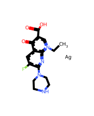 CCn1cc(C(=O)O)c(=O)c2cc(F)c(N3CCNCC3)nc21.[Ag]